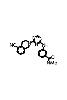 CNC(=O)c1cccc(Nc2ncnc(N3CCc4c(C#N)cccc4C3)n2)c1